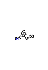 c1ccc(-c2ccc(-c3cc(-c4cccc(-c5ccc6ccccc6c5)c4)c4ccc5cccc6ccc3c4c65)cc2)nc1